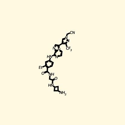 CCc1cc(Nc2nccn3c(-c4cn(CC#N)nc4C(F)(F)F)cnc23)ccc1C(=O)NCC(=O)NC1CC(N)C1